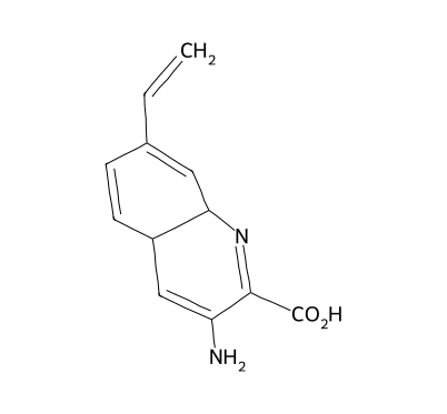 C=CC1=CC2N=C(C(=O)O)C(N)=CC2C=C1